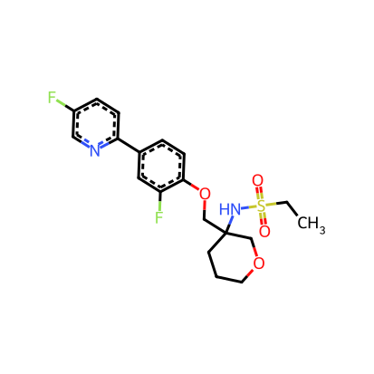 CCS(=O)(=O)NC1(COc2ccc(-c3ccc(F)cn3)cc2F)CCCOC1